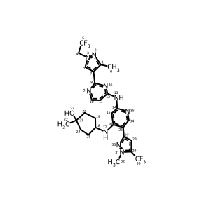 Cc1nn(CC(F)(F)F)cc1-c1nccc(Nc2cc(NC3CCC(C)(O)CC3)c(-c3cc(C(F)(F)F)n(C)n3)cn2)n1